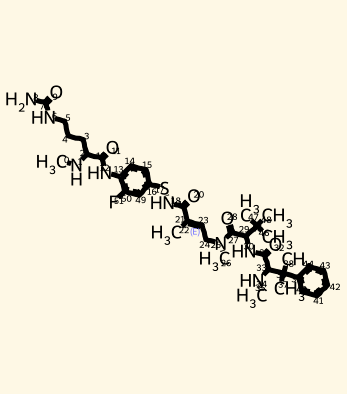 CNC(CCCNC(N)=O)C(=O)Nc1ccc(SNC(=O)/C(C)=C/CN(C)C(=O)C(NC(=O)C(NC)C(C)(C)c2ccccc2)C(C)(C)C)cc1F